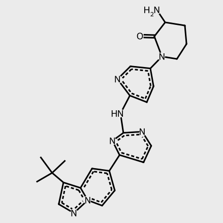 CC(C)(C)c1cnn2ccc(-c3ccnc(Nc4ccc(N5CCCC(N)C5=O)cn4)n3)cc12